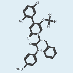 [2H]C([2H])([2H])Oc1cn([C@H](Cc2ccccc2)C(=O)Nc2ccc(C(=O)O)cc2)c(=O)cc1-c1cc(Cl)ccc1C(C)=O